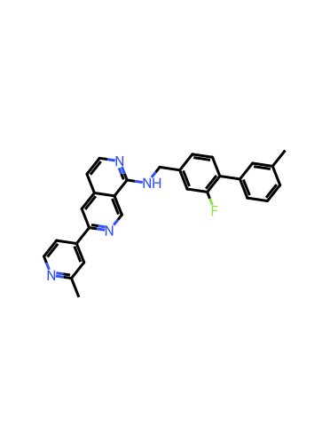 Cc1cccc(-c2ccc(CNc3nccc4cc(-c5ccnc(C)c5)ncc34)cc2F)c1